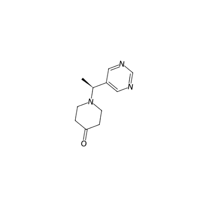 C[C@@H](c1cncnc1)N1CCC(=O)CC1